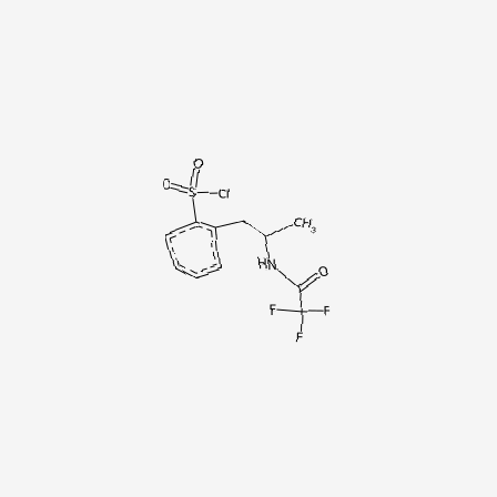 CC(Cc1ccccc1S(=O)(=O)Cl)NC(=O)C(F)(F)F